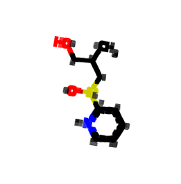 CC(CO)C[S+]([O-])c1ccccn1